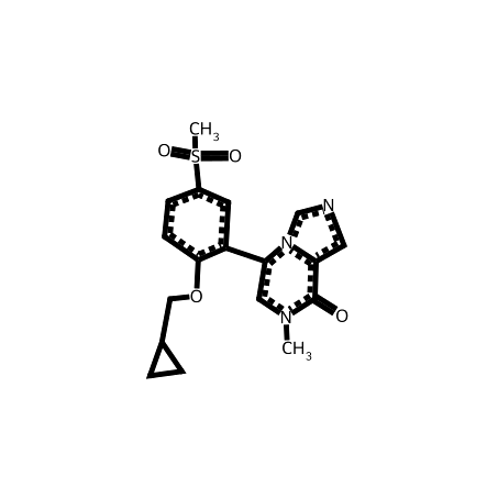 Cn1cc(-c2cc(S(C)(=O)=O)ccc2OCC2CC2)n2cncc2c1=O